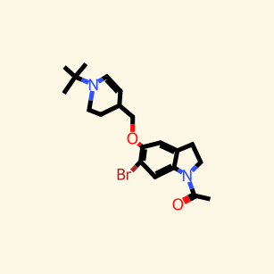 CC(=O)N1CCc2cc(OCC3C=CN(C(C)(C)C)CC3)c(Br)cc21